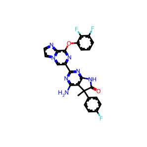 CC1(c2ccc(F)cc2)C(=O)Nc2nc(-c3cn4ccnc4c(Oc4cccc(F)c4F)n3)nc(N)c21